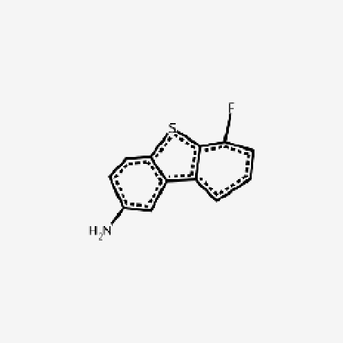 Nc1ccc2sc3c(F)cccc3c2c1